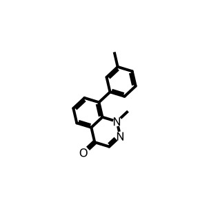 Cc1cccc(-c2cccc3c(=O)cnn(C)c23)c1